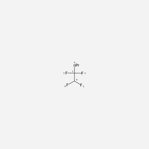 [CH2]CCC(F)(F)C(F)F